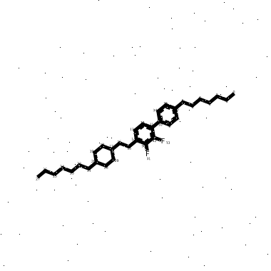 CCCCCCCc1ccc(-c2ccc(CCC3CCC(CCCCCCC)CC3)c(F)c2F)cc1